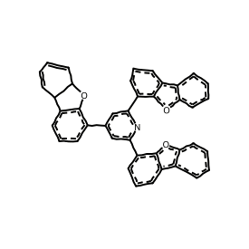 C1=CC2Oc3c(-c4cc(-c5cccc6c5oc5ccccc56)nc(-c5cccc6c5oc5ccccc56)c4)cccc3C2C=C1